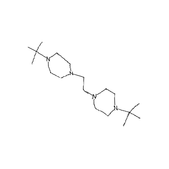 CC(C)(C)N1CCN(CCN2CCN(C(C)(C)C)CC2)CC1